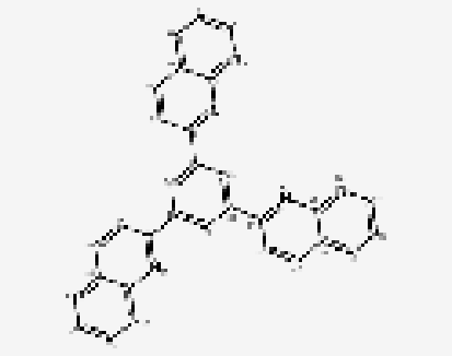 c1cnc2nc(-c3cc(-c4ccc5cccnc5n4)cc(-c4ccc5cccnc5n4)c3)ccc2c1